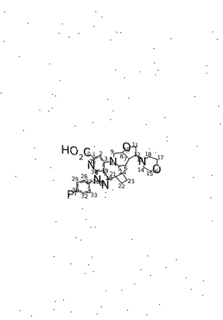 O=C(O)c1cc(N2CCC3C(C2)OCC3N2CCOCC2)c2c(C3CCC3)nn(-c3ccc(F)cc3)c2n1